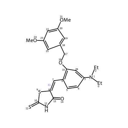 CCN(CC)c1ccc(/C=C2/SC(=S)NC2=O)c(OCc2cc(OC)cc(OC)c2)c1